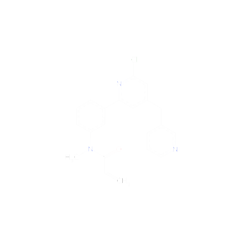 C=CC(=O)N(C)c1cccc(-c2cc(Cc3cccnc3)cc(Cl)n2)c1